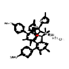 COc1ccc(-c2c(C)c(C)cc3c2C=C(c2ccc(C)o2)[CH]3[Zr]([CH3])([CH3])(=[SiH2])[CH]2C(c3ccc(C)o3)=Cc3c2cc(C)c(C)c3-c2ccc(OC)cc2)cc1.Cl.Cl